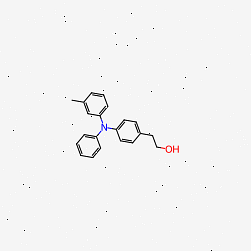 Cc1cccc(N(c2ccccc2)c2ccc(CCO)cc2)c1